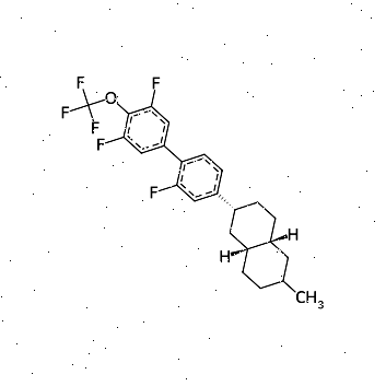 CC1CC[C@@H]2C[C@H](c3ccc(-c4cc(F)c(OC(F)(F)F)c(F)c4)c(F)c3)CC[C@@H]2C1